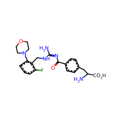 NC(=NC(=O)c1ccc(CC(N)C(=O)O)cc1)NCc1c(F)cccc1N1CCOCC1